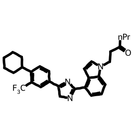 CCCC(=O)CCn1ccc2c(C3=NCC(c4ccc(C5CCCCC5)c(C(F)(F)F)c4)=N3)cccc21